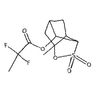 CC(F)(F)C(=O)OC1C2CC3C1S(=O)(=O)OC3(C)C2